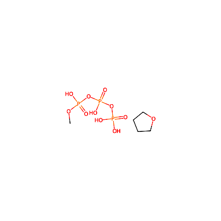 C1CCOC1.COP(=O)(O)OP(=O)(O)OP(=O)(O)O